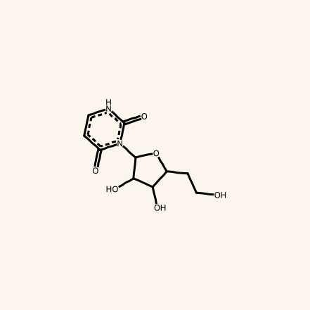 O=c1cc[nH]c(=O)n1C1OC(CCO)C(O)C1O